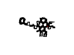 CCOC(=O)C1=C(C=O)NC(C)=C(C(=O)OCCOCc2ccccc2)C1c1ccccc1[N+](=O)[O-]